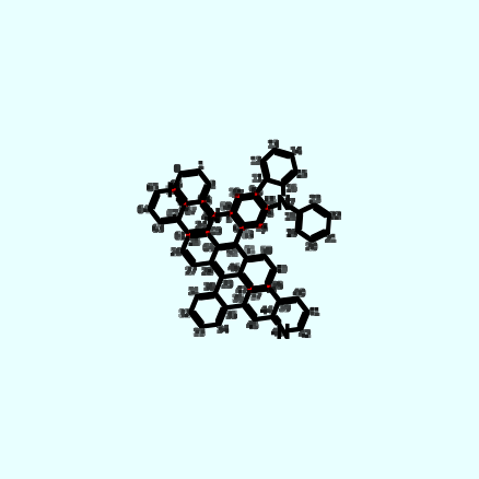 c1ccc(N(c2ccc3c(c2)c2ccccc2n3-c2ccccc2)c2cccc3c(-c4ccccc4-c4ccc5cccnc5c4)c4ccccc4c(-c4ccccc4-c4ccc5cccnc5c4)c23)cc1